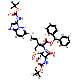 CC(C)(C)OC(=O)Nc1cnc2ccc(S/C=C/C3=C(C(=O)OC(c4ccccc4)c4ccccc4)N4C(=O)[C@@H](NC(=O)OC(C)(C)C)[C@@H]4[S+]([O-])C3)nn12